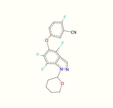 N#Cc1cc(Oc2c(F)c(F)c3c(cnn3C3CCCCO3)c2F)ccc1F